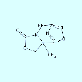 CC12COC(=O)N1Nc1noc2n1